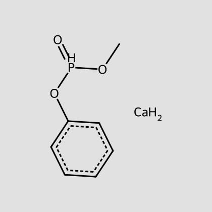 CO[PH](=O)Oc1ccccc1.[CaH2]